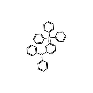 c1ccc(P(c2ccccc2)c2cccc([PH](c3ccccc3)(c3ccccc3)c3ccccc3)c2)cc1